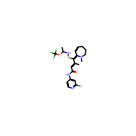 CC(=C\C(=O)Nc1ccnc(Cl)c1)/C(SNC(C)OC(F)(F)F)=C1/C=CCCCN1C